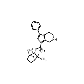 CC12CCC(C1)C(C)(C)C2NC(=O)c1nc(-c2ccccc2)n2c1CNCC2